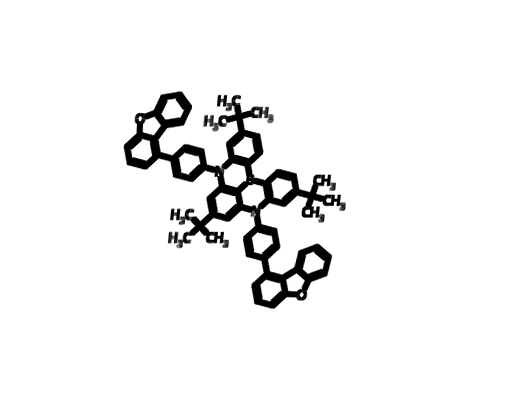 CC(C)(C)c1ccc2c(c1)N(c1ccc(-c3cccc4oc5ccccc5c34)cc1)c1cc(C(C)(C)C)cc3c1B2c1ccc(C(C)(C)C)cc1N3c1ccc(-c2cccc3oc4ccccc4c23)cc1